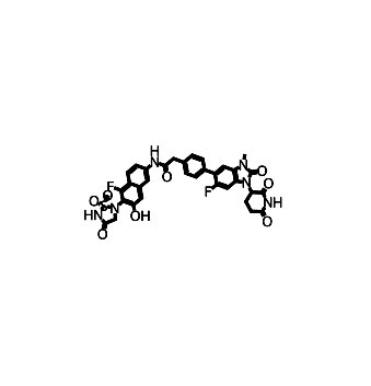 Cn1c(=O)n(C2CCC(=O)NC2=O)c2cc(F)c(-c3ccc(CC(=O)Nc4ccc5c(F)c(N6CC(=O)NS6(=O)=O)c(O)cc5c4)cc3)cc21